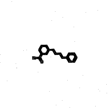 CCC(=O)C1CCC[C@@H](CCCCc2ccccc2)C1